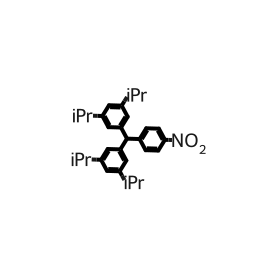 CC(C)c1cc(C(C)C)cc(C(c2ccc([N+](=O)[O-])cc2)c2cc(C(C)C)cc(C(C)C)c2)c1